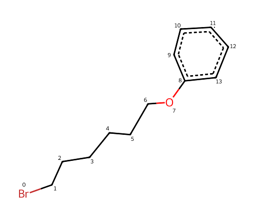 BrCCCCCCOc1cc[c]cc1